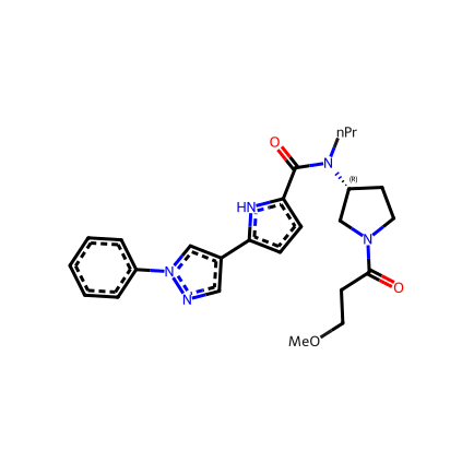 CCCN(C(=O)c1ccc(-c2cnn(-c3ccccc3)c2)[nH]1)[C@@H]1CCN(C(=O)CCOC)C1